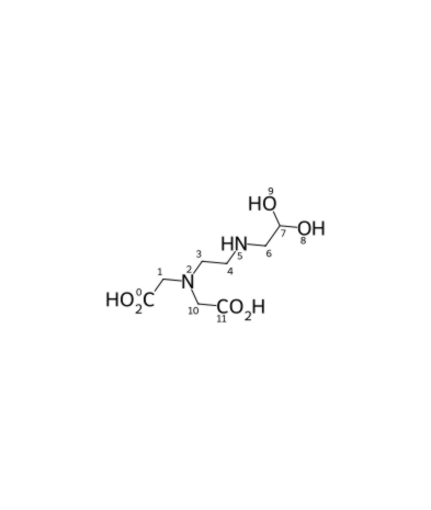 O=C(O)CN(CCNCC(O)O)CC(=O)O